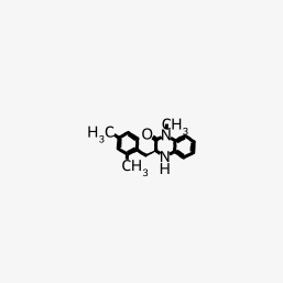 Cc1ccc(C[C@@H]2Nc3ccccc3N(C)C2=O)c(C)c1